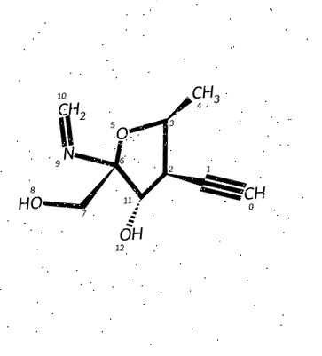 C#C[C@@H]1[C@H](C)O[C@@](CO)(N=C)[C@H]1O